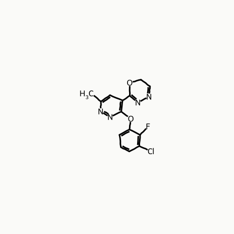 Cc1cc(C2=NN=CCO2)c(Oc2cccc(Cl)c2F)nn1